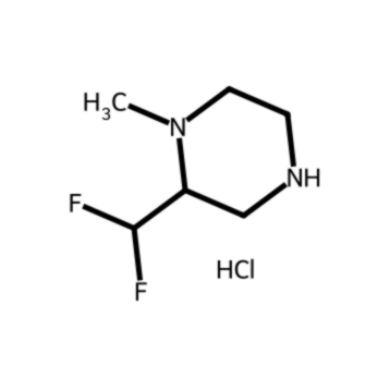 CN1CCNCC1C(F)F.Cl